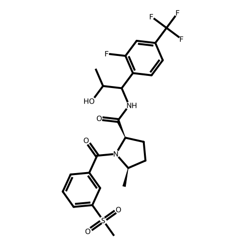 CC(O)C(NC(=O)[C@H]1CC[C@@H](C)N1C(=O)c1cccc(S(C)(=O)=O)c1)c1ccc(C(F)(F)F)cc1F